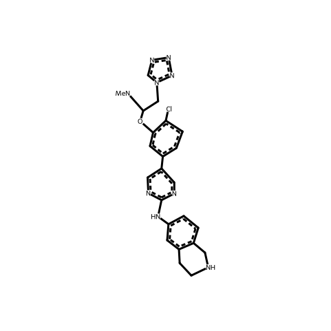 CNC(Cn1cnnn1)Oc1cc(-c2cnc(Nc3ccc4c(c3)CCNC4)nc2)ccc1Cl